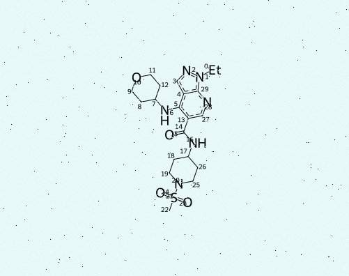 CCn1ncc2c(NC3CCOCC3)c(C(=O)NC3CCN(S(C)(=O)=O)CC3)cnc21